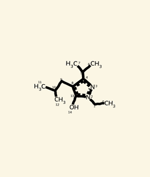 CCn1nc(C(C)C)c(CC(C)C)c1O